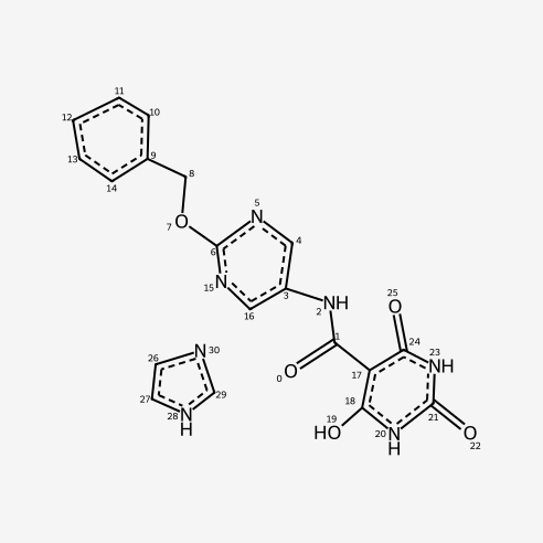 O=C(Nc1cnc(OCc2ccccc2)nc1)c1c(O)[nH]c(=O)[nH]c1=O.c1c[nH]cn1